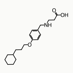 O=C(O)CCNCc1ccc(OCCCC2CCCCC2)cc1